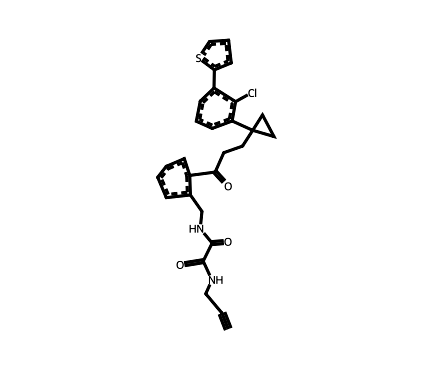 C#CCNC(=O)C(=O)NCc1ccccc1C(=O)CCC1(c2cccc(-c3cccs3)c2Cl)CC1